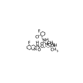 CN(C(=O)NCc1cccc(F)c1Cl)[C@H](COC(=O)Nc1cc2c(F)cccc2cn1)CC(C)(C)O